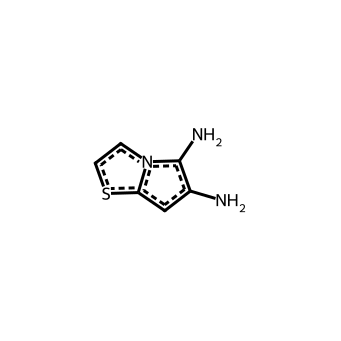 Nc1cc2sccn2c1N